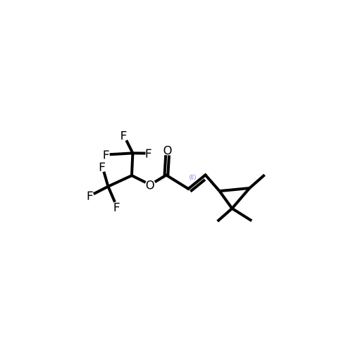 CC1C(/C=C/C(=O)OC(C(F)(F)F)C(F)(F)F)C1(C)C